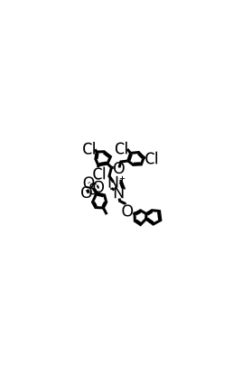 Cc1ccc(S(=O)(=O)[O-])cc1.Clc1ccc(COC(C[n+]2ccn(CCOc3ccc4ccccc4c3)c2)c2ccc(Cl)cc2Cl)c(Cl)c1